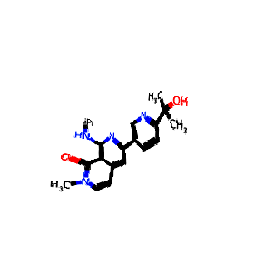 CC(C)Nc1nc(-c2ccc(C(C)(C)O)nc2)cc2ccn(C)c(=O)c12